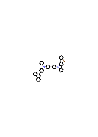 c1ccc(N(c2ccc(-c3ccc(-n4c5ccccc5c5cc6sc7ccccc7c6cc54)cc3)cc2)c2ccc(-c3cc4ccccc4c4ccccc34)cc2)cc1